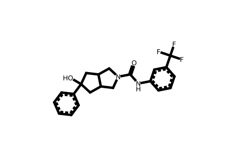 O=C(Nc1cccc(C(F)(F)F)c1)N1CC2CC(O)(c3ccccc3)CC2C1